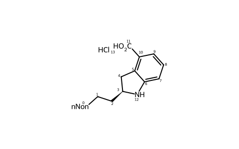 CCCCCCCCCCC[C@H]1Cc2c(cccc2C(=O)O)N1.Cl